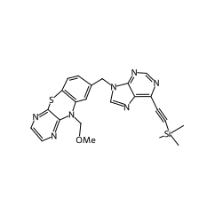 COCN1c2cc(Cn3cnc4c(C#C[Si](C)(C)C)ncnc43)ccc2Sc2nccnc21